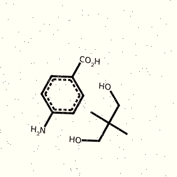 CC(C)(CO)CO.Nc1ccc(C(=O)O)cc1